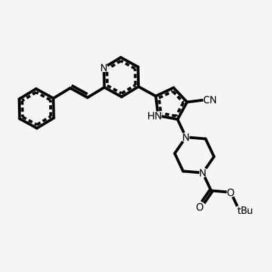 CC(C)(C)OC(=O)N1CCN(c2[nH]c(-c3ccnc(C=Cc4ccccc4)c3)cc2C#N)CC1